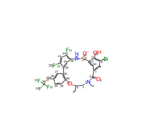 CC1CN(C)C(=O)c2cc(Br)c(O)c(c2)[S+]([O-])Nc2cc(c(F)cc2F)-c2cc(SC(F)(F)F)ccc2O1